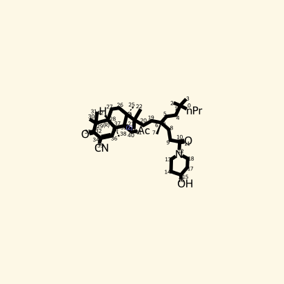 CCCC(C)(C)CC[C@](C)(CCC(=O)N1CCC(O)CC1)CCC(C)(C)[C@]1(C)CC[C@H]2C(C)(C)C(=O)C(C#N)=C[C@]2(C)/C1=C/C(C)=O